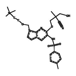 Cc1ccc(S(=O)(=O)Nc2cc3ccn(COCC[Si](C)(C)C)c3nc2OCC(C)(C#N)CO)cc1